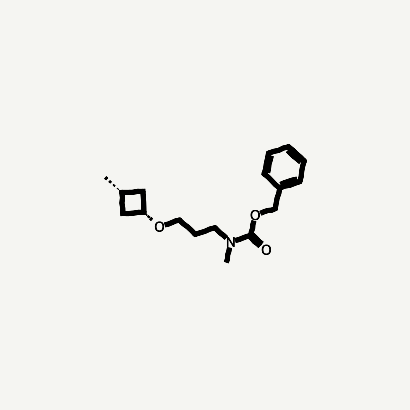 CN(CCCO[C@H]1C[C@@H](C)C1)C(=O)OCc1ccccc1